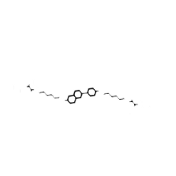 C=C(C)C(=O)OCCCCCCOc1ccc(-c2ccc3cc(OCCCCCCOC(=O)C(=C)C)ccc3c2)cc1